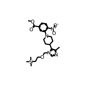 COC(=O)c1ccc([N+](=O)[O-])c(N2CCC(c3c(C)ncn3COCC[Si](C)(C)C)CC2)c1